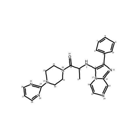 CC(Nc1c(-c2ccccc2)nc2cnccn12)C(=O)N1CCN(c2ncccn2)CC1